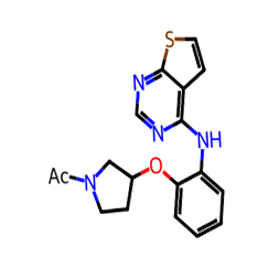 CC(=O)N1CCC(Oc2ccccc2Nc2ncnc3sccc23)C1